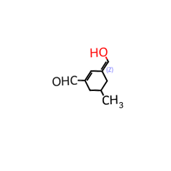 CC1CC(C=O)=C/C(=C\O)C1